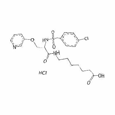 Cl.O=C(O)CCCCCCNC(=O)[C@H](COc1cccnc1)NS(=O)(=O)c1ccc(Cl)cc1